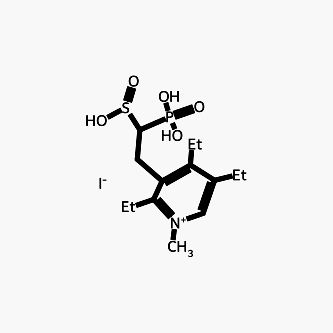 CCc1c[n+](C)c(CC)c(CC(S(=O)O)P(=O)(O)O)c1CC.[I-]